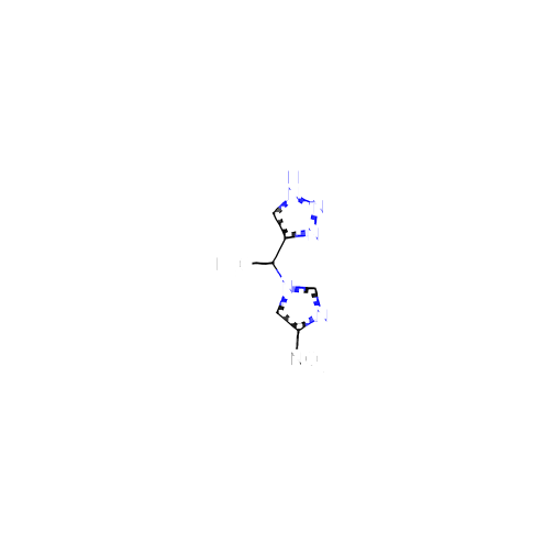 CC(c1c[nH]nn1)n1cnc([N+](=O)[O-])c1